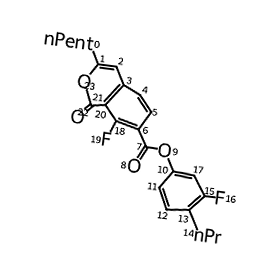 CCCCCc1cc2ccc(C(=O)Oc3ccc(CCC)c(F)c3)c(F)c2c(=O)o1